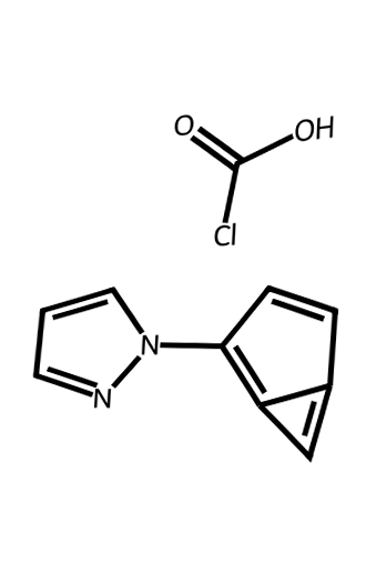 O=C(O)Cl.c1cnn(-c2ccc3cc2-3)c1